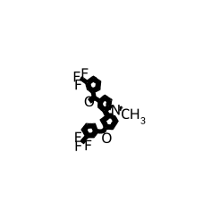 CCn1c2ccc(C(=O)c3cccc(C(F)(F)F)c3)cc2c2cc(C(=O)c3cccc(C(F)(F)F)c3)ccc21